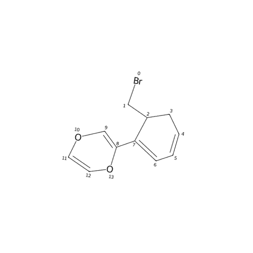 BrCC1CC=CC=C1C1=COC=CO1